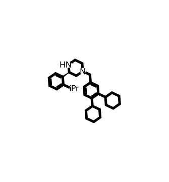 CC(C)c1ccccc1[C@@H]1CN(Cc2ccc(C3CCCCC3)c(C3CCCCC3)c2)CCN1